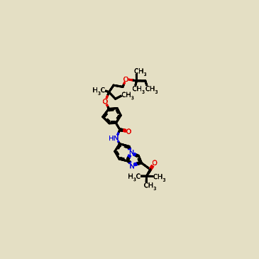 CCC(C)(C)OCCC(C)(CC)Oc1ccc(C(=O)Nc2ccc3nc(C(=O)C(C)(C)C)cn3c2)cc1